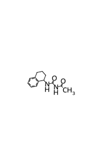 CC(=O)NC(=O)NC1CCCc2ccccc21